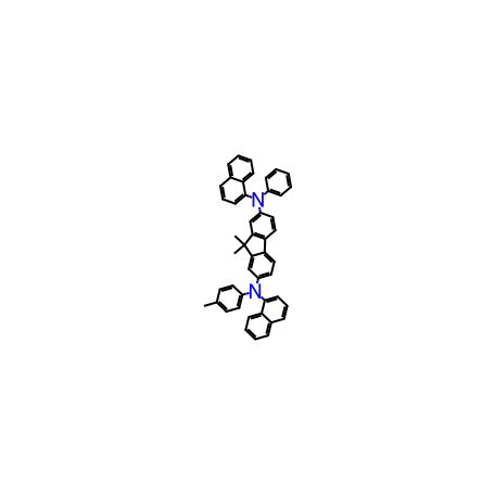 Cc1ccc(N(c2ccc3c(c2)C(C)(C)c2cc(N(c4ccccc4)c4cccc5ccccc45)ccc2-3)c2cccc3ccccc23)cc1